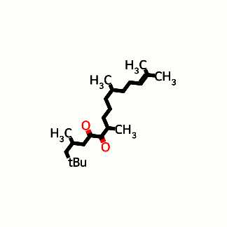 CC(C)=CCCC(C)CCCC(C)C(=O)C(=O)CC(C)CC(C)(C)C